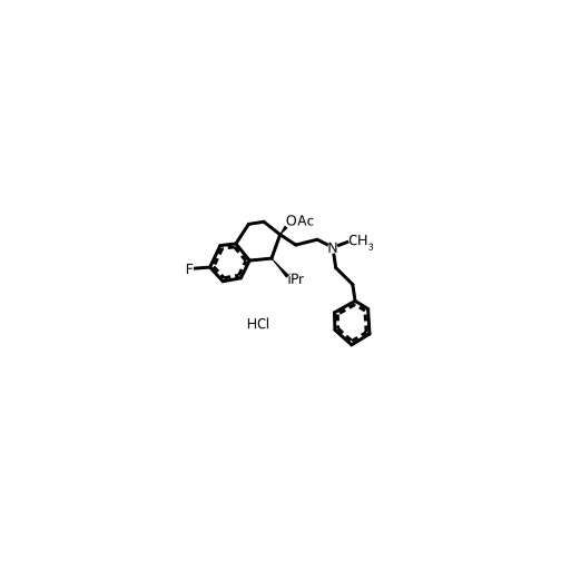 CC(=O)O[C@]1(CCN(C)CCc2ccccc2)CCc2cc(F)ccc2[C@@H]1C(C)C.Cl